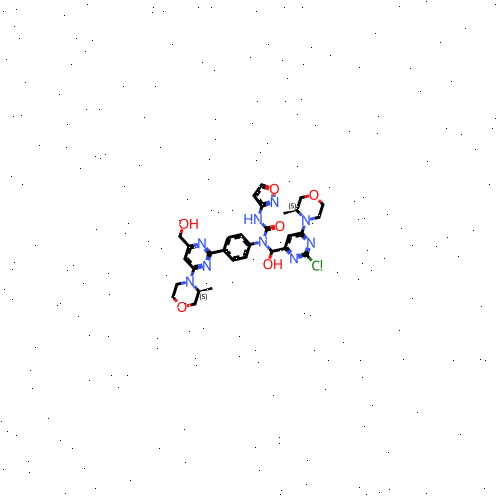 C[C@H]1COCCN1c1cc(C(O)N(C(=O)Nc2ccon2)c2ccc(-c3nc(CO)cc(N4CCOC[C@@H]4C)n3)cc2)nc(Cl)n1